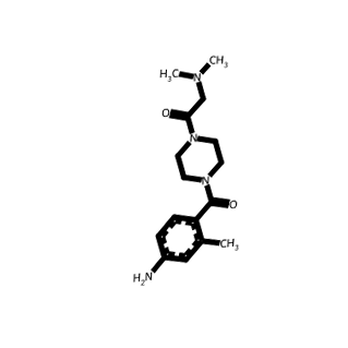 Cc1cc(N)ccc1C(=O)N1CCN(C(=O)CN(C)C)CC1